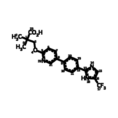 CC(C)(COc1ccc(-c2ccc(-c3ncc(C(F)(F)F)[nH]3)cc2)cn1)C(=O)O